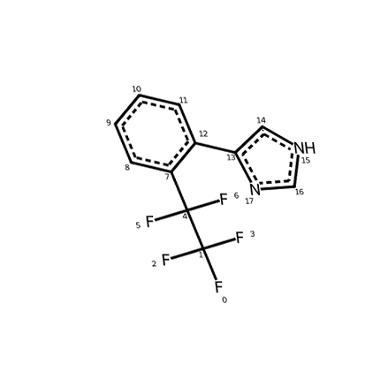 FC(F)(F)C(F)(F)c1ccccc1-c1[c][nH]cn1